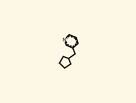 [CH]1CCC(Cc2cccnc2)C1